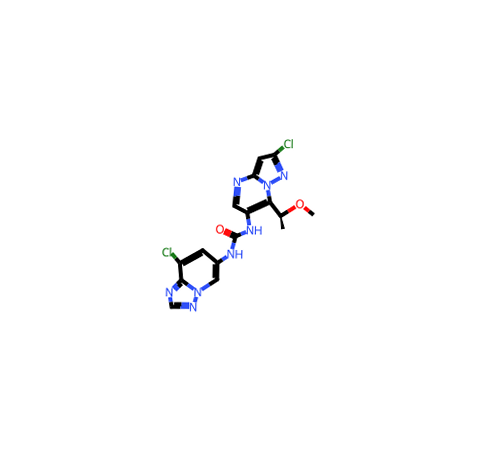 CO[C@@H](C)c1c(NC(=O)Nc2cc(Cl)c3ncnn3c2)cnc2cc(Cl)nn12